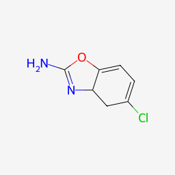 NC1=NC2CC(Cl)=CC=C2O1